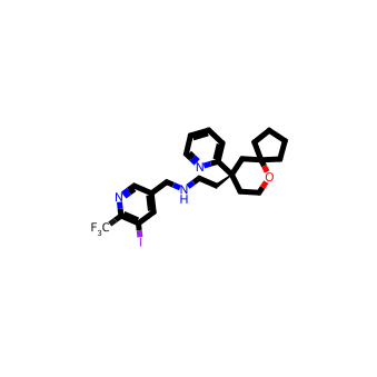 FC(F)(F)c1ncc(CNCC[C@]2(c3ccccn3)CCOC3(CCCC3)C2)cc1I